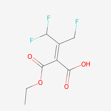 CCOC(=O)C(C(=O)O)=C(CF)C(F)F